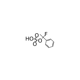 CC(F)(OS(=O)(=O)O)c1ccccc1